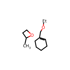 CC1CCO1.CCOCC1=CCCCC1